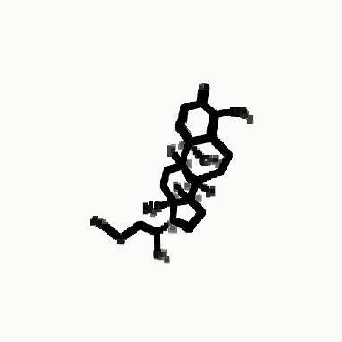 CC(=O)SCC(C)[C@H]1CC[C@H]2[C@@H]3CCC4=C([N+](=O)[O-])C(=O)CC[C@]4(C)[C@H]3CC[C@]12C